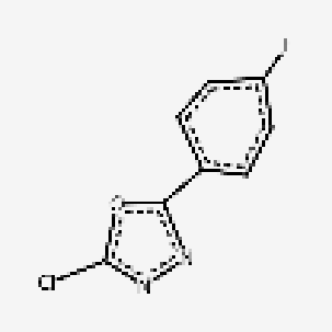 Fc1ccc(-c2nnc(Cl)o2)cc1